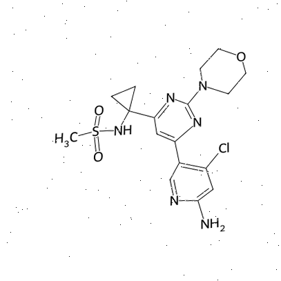 CS(=O)(=O)NC1(c2cc(-c3cnc(N)cc3Cl)nc(N3CCOCC3)n2)CC1